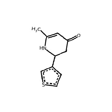 CC1=CC(=O)CC(c2ccsc2)N1